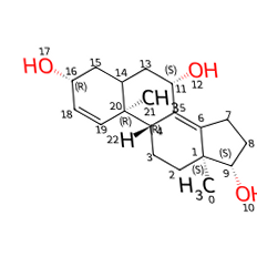 C[C@]12CC[C@H]3C(=C1CC[C@@H]2O)[C@@H](O)CC1C[C@@H](O)C=C[C@@]13C